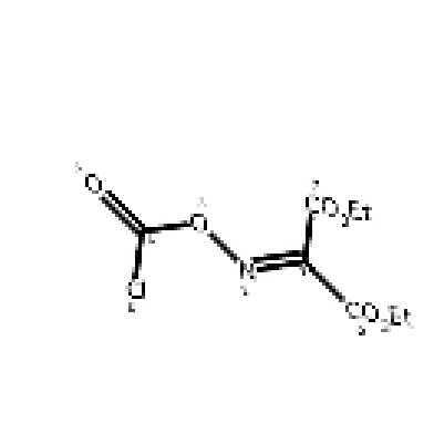 CCOC(=O)C(=NOC(=O)Cl)C(=O)OCC